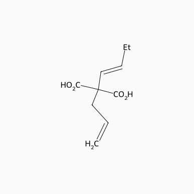 C=CCC(C=CCC)(C(=O)O)C(=O)O